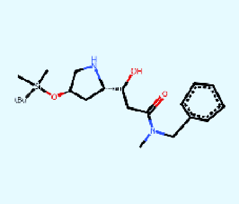 CN(Cc1ccccc1)C(=O)CC(O)[C@@H]1C[C@@H](O[Si](C)(C)C(C)(C)C)CN1